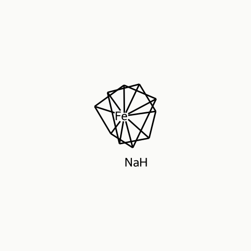 [CH]12[CH]3[CH]4[CH]5[CH]1[Fe]23451678[CH]2[CH]1[CH]6[CH]7[CH]28.[NaH]